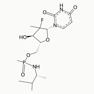 CC(C)[C@@H](C)NP(C)(=O)OC[C@H]1O[C@@H](n2ccc(=O)[nH]c2=O)C(C)(F)[C@@H]1O